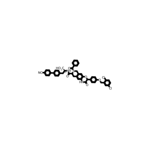 N#Cc1ccc(-c2ccc(C[C@H](NC(=O)C3Cc4cc5c(cc4CN3C(=O)c3ccccc3)OC(c3ccc(OCc4cc(Cl)ccc4Cl)cc3)C(=O)N5)C(=O)O)cc2)cc1